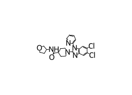 O=C(NC1CCOC1)C1CCN(c2nc3cc(Cl)c(Cl)cc3n2-c2ccccn2)CC1